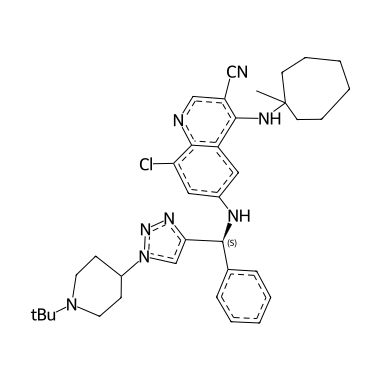 CC1(Nc2c(C#N)cnc3c(Cl)cc(N[C@@H](c4ccccc4)c4cn(C5CCN(C(C)(C)C)CC5)nn4)cc23)CCCCCC1